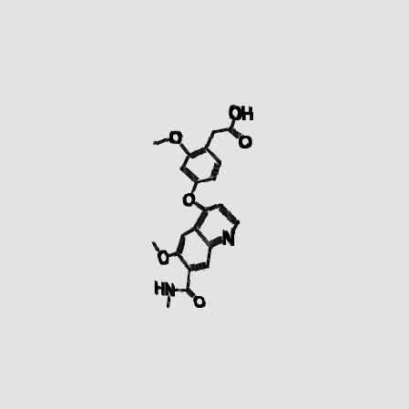 CNC(=O)c1cc2nccc(Oc3ccc(CC(=O)O)c(OC)c3)c2cc1OC